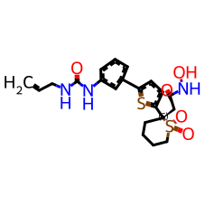 C=CCNC(=O)Nc1cccc(-c2ccc([C@@]3(CC(=O)NO)CCCCS3(=O)=O)s2)c1